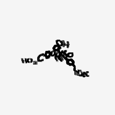 CCCCCCCCCCCCc1ccc(NC(=O)C(C)Nc2cc(O)ccc2Oc2ccc(C(=O)O)cc2)cc1